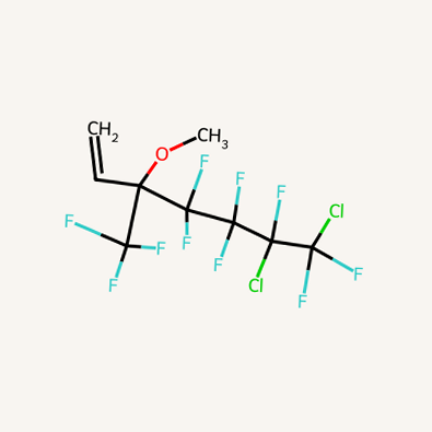 C=CC(OC)(C(F)(F)F)C(F)(F)C(F)(F)C(F)(Cl)C(F)(F)Cl